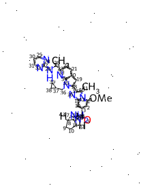 COc1cc(C(=O)N2C[C@H]3CC[C@@H]2[C@@H]3N)cc2nc(-c3cc4ccc([C@@H](C)Nc5ncccn5)nc4n3CC3CC3)c(C)n12